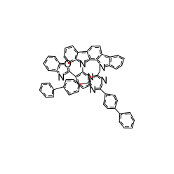 c1ccc(-c2ccc(-c3nc(-c4ccc(-c5ccccc5)cc4)nc(-n4c5ccccc5c5ccc6c7ccccc7n(-c7ccccc7-c7nc8ccccc8o7)c6c54)n3)cc2)cc1